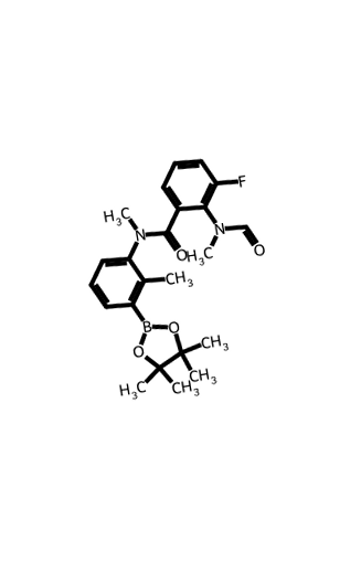 Cc1c(B2OC(C)(C)C(C)(C)O2)cccc1N(C)C(=O)c1cccc(F)c1N(C)C=O